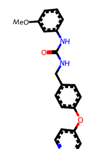 COc1cccc(NC(=O)NCc2ccc(Oc3ccncc3)cc2)c1